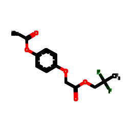 CCC(C)C(=O)Oc1ccc(OCC(=O)OCC(F)(F)C(F)(F)F)cc1